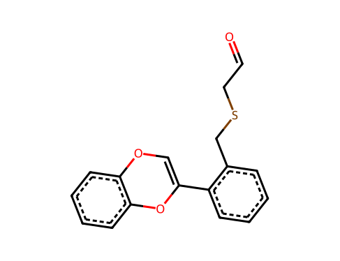 O=CCSCc1ccccc1C1=COc2ccccc2O1